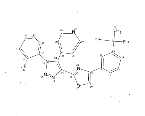 CC(F)(F)c1cccc(-c2noc(-c3nnn(-c4ccccc4F)c3-c3ccncc3)n2)c1